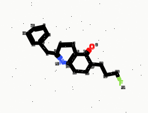 O=C1c2ccc(Cc3ccccc3)nc2CCC1CCCF